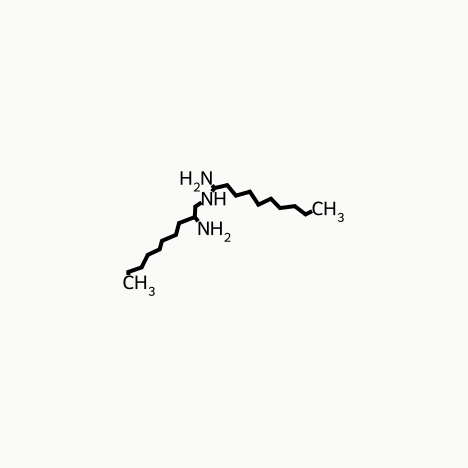 CCCCCCCCCC(N)NCC(N)CCCCCCCC